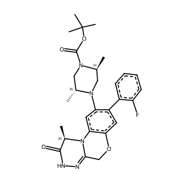 C[C@@H]1CN(C(=O)OC(C)(C)C)[C@@H](C)CN1c1cc2c(cc1-c1ccccc1F)OCC1=NNC(=O)[C@@H](C)N12